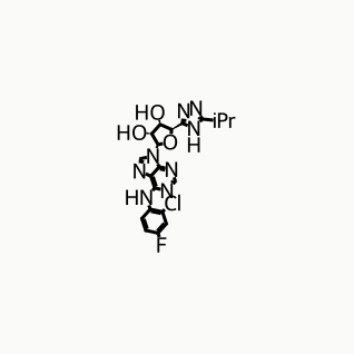 CC(C)c1nnc([C@H]2O[C@@H](n3cnc4c(Nc5ccc(F)cc5Cl)ncnc43)[C@H](O)[C@@H]2O)[nH]1